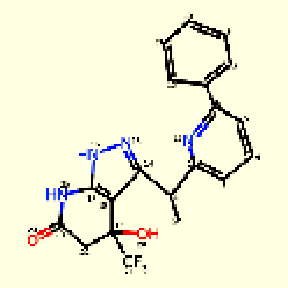 CC(c1cccc(-c2ccccc2)n1)c1n[nH]c2c1C(O)(C(F)(F)F)CC(=O)N2